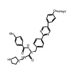 CCCCCCCOc1ccc(-c2cnc(-c3ccc(C[C@H](NC(=O)c4ccc(C(C)(C)C)cc4)C(=O)NC[C@H]4CCNC4)cc3)nc2)cc1